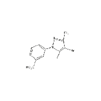 Cc1c(Br)c(C(F)(F)F)nn1-c1cccc(C(=O)O)c1